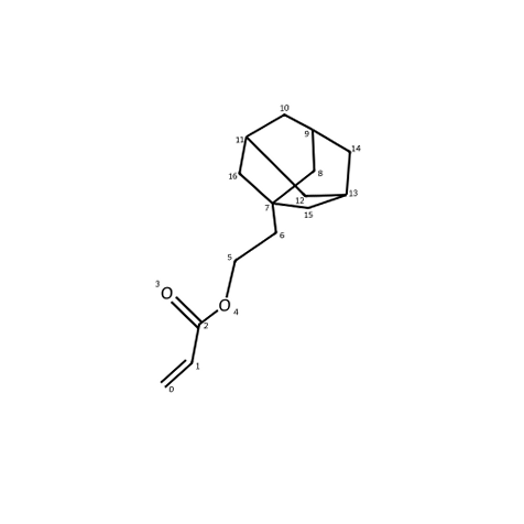 C=CC(=O)OCCC12CC3CC(CC(C3)C1)C2